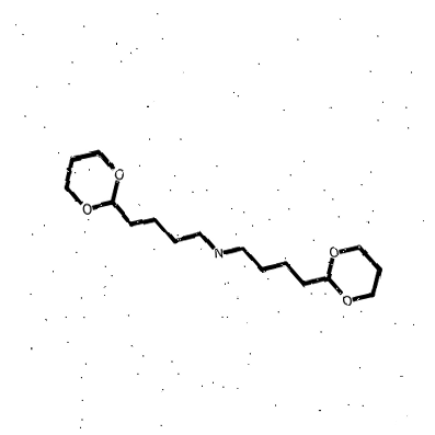 C(CCC1OCCCO1)C[N]CCCCC1OCCCO1